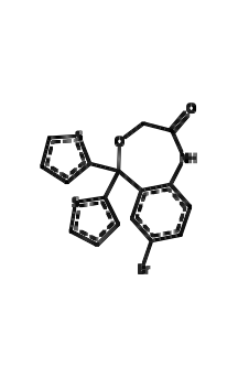 O=C1COC(c2cccs2)(c2cccs2)c2cc(Br)ccc2N1